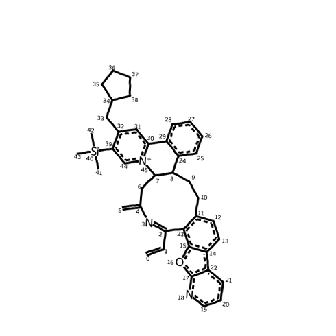 C=C/C1=N/C(=C)CC2C(CCc3ccc4c(oc5ncccc54)c31)c1ccccc1-c1cc(CC3CCCC3)c([Si](C)(C)C)c[n+]12